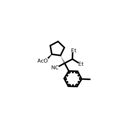 CCC(CC)C(C#N)(c1cccc(C)c1)[C@H]1CCC[C@@H]1OC(C)=O